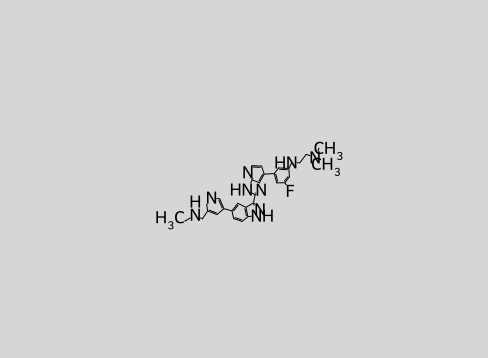 CCNCc1cncc(-c2ccc3[nH]nc(-c4nc5c(-c6cc(F)cc(NCCN(C)C)c6)ccnc5[nH]4)c3c2)c1